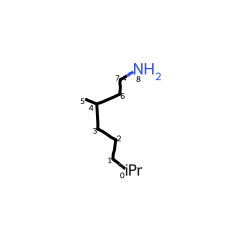 CC(C)CCCC(C)C[CH]N